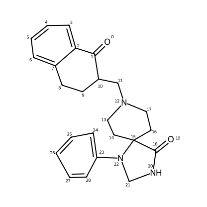 O=C1c2ccccc2CCC1CN1CCC2(CC1)C(=O)NCN2c1ccccc1